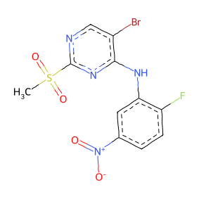 CS(=O)(=O)c1ncc(Br)c(Nc2cc([N+](=O)[O-])ccc2F)n1